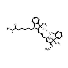 CCCNC(=O)CCCCCN1/C(=C/C=C/C=C/C(=N\C)C(C)(C)c2ccccc2C)C(C)(C)c2ccccc21